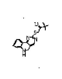 CC(C)(C)C(=O)CSc1ncc2c(n1)-c1ccccc1NC2